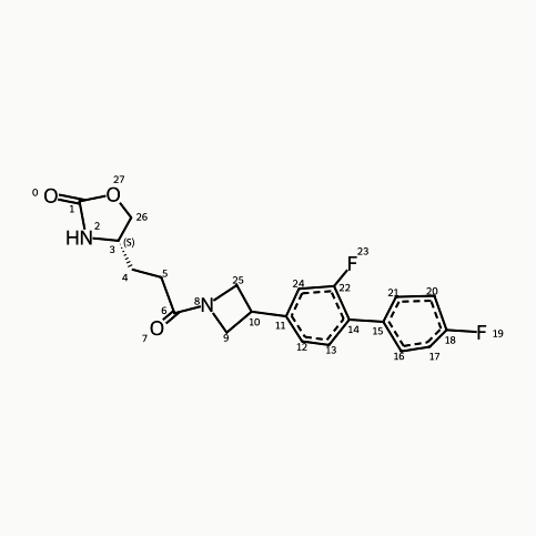 O=C1N[C@@H](CCC(=O)N2CC(c3ccc(-c4ccc(F)cc4)c(F)c3)C2)CO1